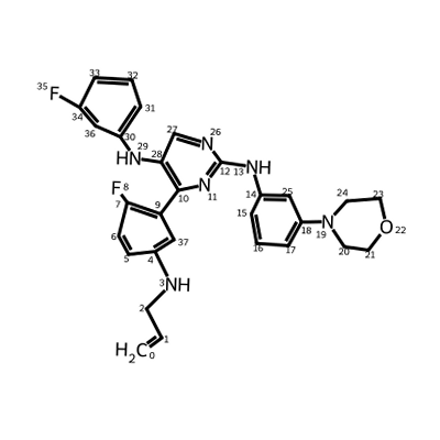 C=CCNc1ccc(F)c(-c2nc(Nc3cccc(N4CCOCC4)c3)ncc2Nc2cccc(F)c2)c1